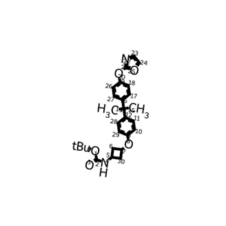 CC(C)(C)OC(=O)NC1CC(Oc2ccc(C(C)(C)c3ccc(Oc4ncco4)cc3)cc2)C1